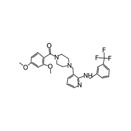 COc1ccc(C(=O)N2CCN(Cc3cccnc3NCc3cccc(C(F)(F)F)c3)CC2)c(OC)c1